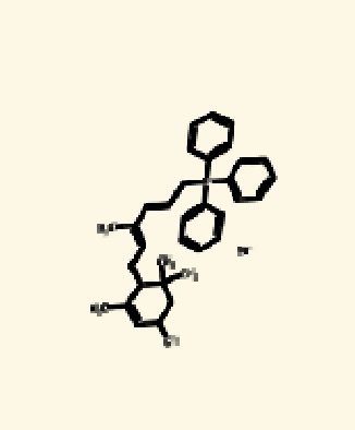 CC(C=CC[P+](c1ccccc1)(c1ccccc1)c1ccccc1)=CCC1C(C)=CC(O)CC1(C)C.[Br-]